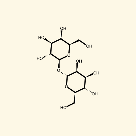 OC[C@H]1O[C@@H](O[C@H]2O[C@H](CO)[C@@H](O)[C@H](O)[C@@H]2O)[C@H](O)[C@@H](O)[C@H]1O